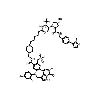 Cc1ncsc1-c1ccc(CNC(=O)[C@@H]2C[C@@H](O)CN2C(=O)[C@@H](NC(=O)CCCCCN2CCC(CNC(=O)c3cc4c(cc3CS(C)(=O)=O)-c3cn(C)c(=O)c5[nH]cc(c35)CN4c3ncc(F)cc3F)CC2)C(C)(C)C)cc1